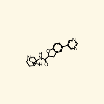 O=C(N[C@H]1CN2CCC1CC2)C1Cc2cc(-c3cncnc3)ccc2O1